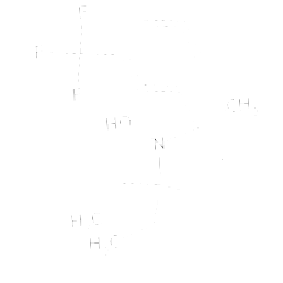 CCC1(CC)CCC(C)(c2cccc(C(F)(F)F)c2)N1O